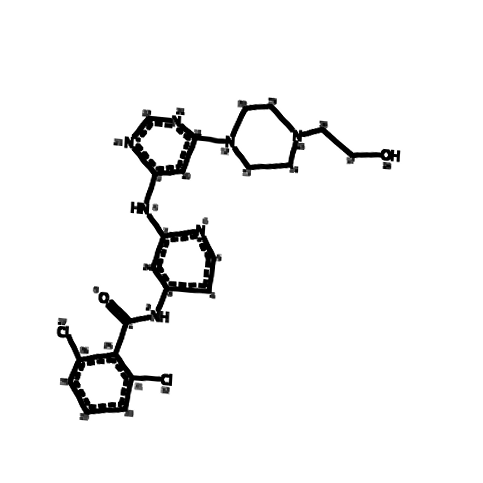 O=C(Nc1ccnc(Nc2cc(N3CCN(CCO)CC3)ncn2)c1)c1c(Cl)cccc1Cl